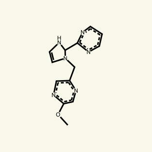 COc1cnc(CN2C=CNC2c2ncccn2)cn1